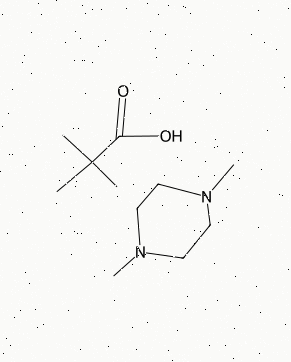 CC(C)(C)C(=O)O.CN1CCN(C)CC1